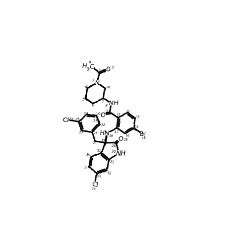 CC(=O)N1CCCC(NC(=O)c2ccc(Br)cc2NC2(Cc3cccc(Cl)c3)C(=O)Nc3cc(Cl)ccc32)C1